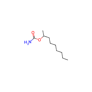 CCCCCCCC(C)OC(N)=O